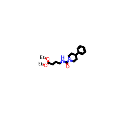 CCOC(CCCNC(=O)N1CCC(c2ccccc2)CC1)OCC